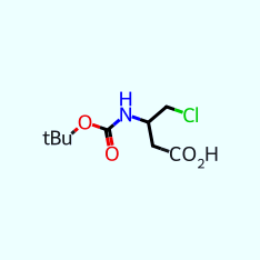 CC(C)(C)OC(=O)NC(CCl)CC(=O)O